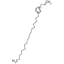 C=CC[n+]1ccn(CCCCCCCCCCCCCCCCCC)c1